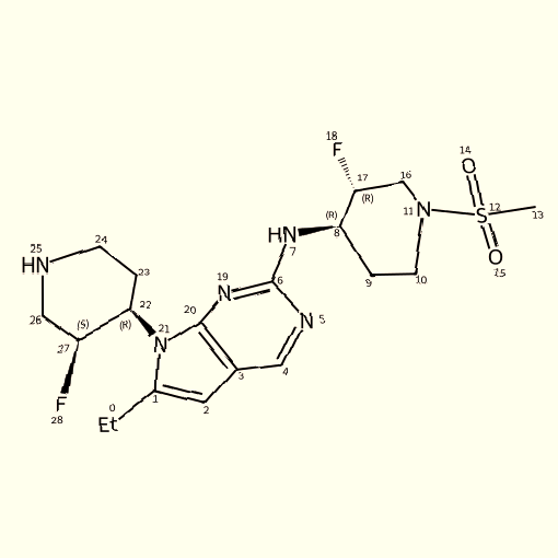 CCc1cc2cnc(N[C@@H]3CCN(S(C)(=O)=O)C[C@H]3F)nc2n1[C@@H]1CCNC[C@@H]1F